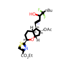 CCCCC(F)(F)C(O)/C=C/[C@@H]1[C@H]2CC[C@H](c3nc(C(=O)OCC)cs3)O[C@H]2C[C@H]1OC(C)=O